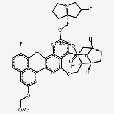 COCOc1cc(-c2nc3c4c(nc(OC[C@]56CCCN5C[C@@H](F)C6)nc4c2F)N2C[C@@H]4CC[C@H]([C@H]2CO3)N4C(=O)OC(C)(C)C)c2c(F)c(F)ccc2c1